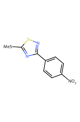 CSc1nc(-c2ccc([N+](=O)[O-])cc2)ns1